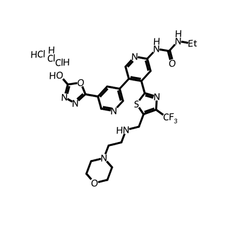 CCNC(=O)Nc1cc(-c2nc(C(F)(F)F)c(CNCCN3CCOCC3)s2)c(-c2cncc(-c3nnc(O)o3)c2)cn1.Cl.Cl.Cl